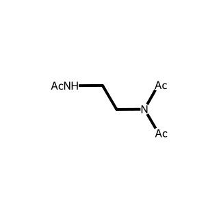 CC(=O)NCCN(C(C)=O)C(C)=O